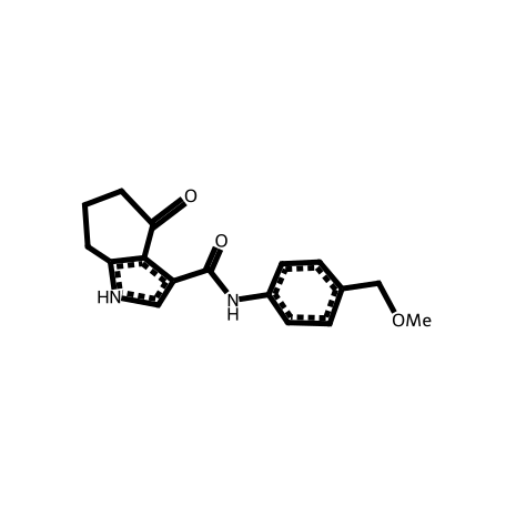 COCc1ccc(NC(=O)c2c[nH]c3c2C(=O)CCC3)cc1